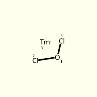 ClOCl.[Tm]